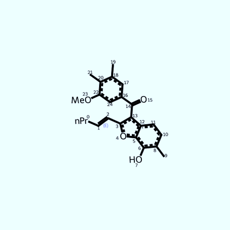 CCC/C=C/c1oc2c(O)c(C)ccc2c1C(=O)c1cc(C)c(C)c(OC)c1